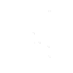 CN(Cc1cccc(CO)c1)[C@H]1CCCC(C2CCc3sc4ncnc(N)c4c32)C1